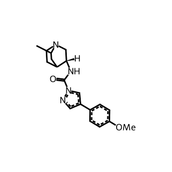 COc1ccc(-c2cnn(C(=O)N[C@H]3CN4CCC3CC4C)c2)cc1